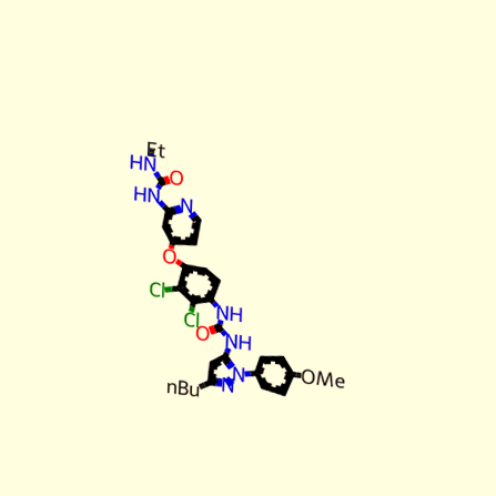 CCCCc1cc(NC(=O)Nc2ccc(Oc3ccnc(NC(=O)NCC)c3)c(Cl)c2Cl)n(-c2ccc(OC)cc2)n1